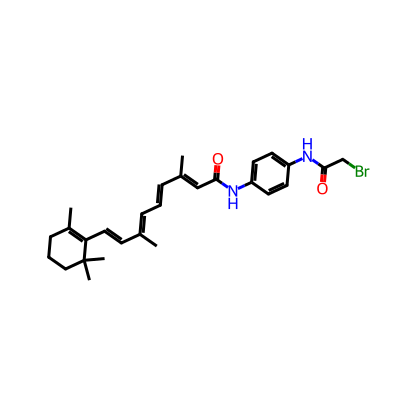 CC(C=CC1=C(C)CCCC1(C)C)=CC=CC(C)=CC(=O)Nc1ccc(NC(=O)CBr)cc1